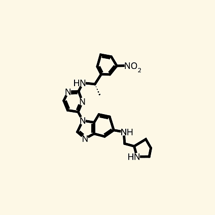 C[C@H](Nc1nccc(-n2cnc3cc(NCC4CCCN4)ccc32)n1)c1cccc([N+](=O)[O-])c1